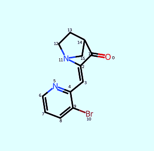 O=C1C(=Cc2ncccc2Br)N2CCC1C2